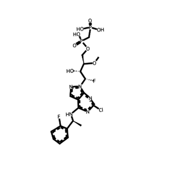 CO[C@H](COP(=O)(O)CP(=O)(O)O)[C@@H](O)[C@H](F)n1ncc2c(N[C@@H](C)c3ccccc3F)nc(Cl)nc21